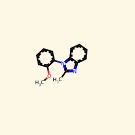 COc1ccccc1-n1c(C)nc2ccccc21